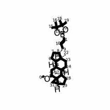 COC1C[C@H]2[C@@H]3CC[C@H](C/C=C/B4OC(C)(C)C(C)(C)O4)[C@@]3(C)CC[C@@H]2[C@@]2(C)CC[C@@H]3CC132